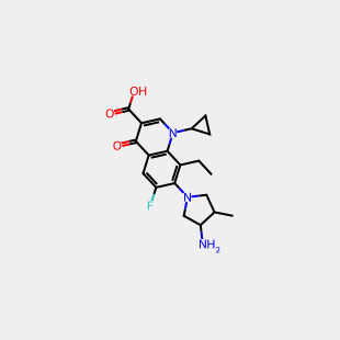 CCc1c(N2CC(C)C(N)C2)c(F)cc2c(=O)c(C(=O)O)cn(C3CC3)c12